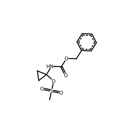 CS(=O)(=O)OC1(NC(=O)OCc2ccccc2)CC1